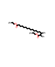 CC(C)CCOC(=O)CCCCCCCCCCCCCC(C(C)C)C(C(=O)OCCC(C)C)C(C)C